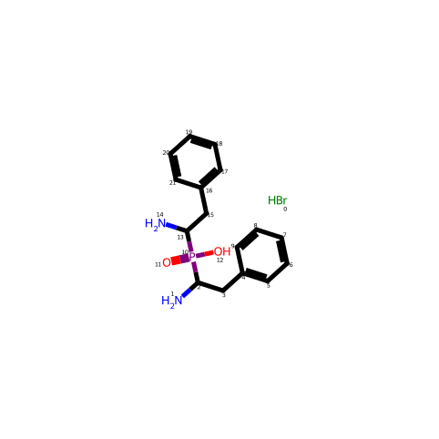 Br.NC(Cc1ccccc1)P(=O)(O)C(N)Cc1ccccc1